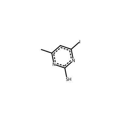 Cc1cc(I)nc(S)n1